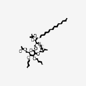 CCCCCCCCCCCCCC[C@H]1OC(C)(C)O[C@H]1[C@H](CO[C@H]1OC(COC(C)=O)[C@@H](OCCCC)C(OCCCC)C1OCCCC)N=[N+]=[N-]